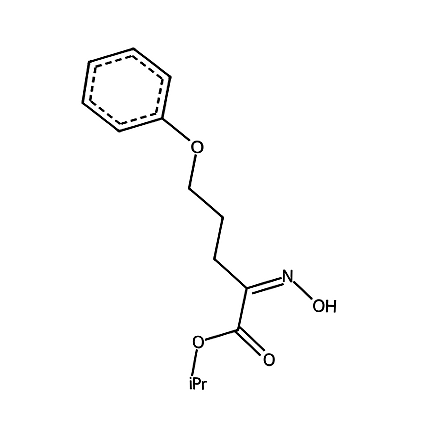 CC(C)OC(=O)C(CCCOc1ccccc1)=NO